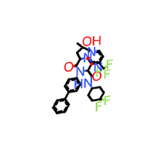 CC1(O)CC(C(=O)N(c2ccc(-c3ccccc3)cc2)C(C(=O)NC2CCC(F)(F)CC2)c2cnccc2C(F)(F)F)N(C#N)C1